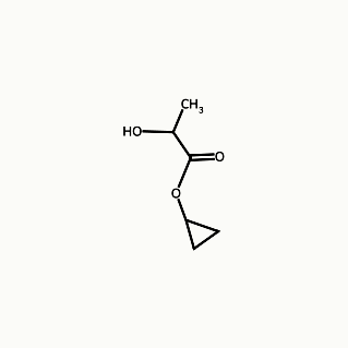 CC(O)C(=O)OC1CC1